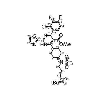 COC(=O)C1=C(C2CCC(N(CCO[Si](C)(C)C(C)(C)C)S(C)(=O)=O)CC2)NC(c2nccs2)=NC1c1ccc(F)c(F)c1Cl